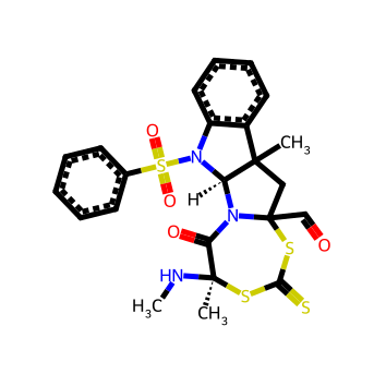 CN[C@]1(C)SC(=S)SC2(C=O)CC3(C)c4ccccc4N(S(=O)(=O)c4ccccc4)[C@@H]3N2C1=O